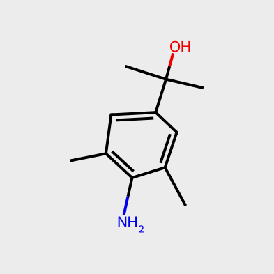 Cc1cc(C(C)(C)O)cc(C)c1N